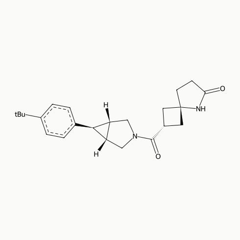 CC(C)(C)c1ccc([C@H]2[C@@H]3CN(C(=O)[C@H]4C[C@]5(CCC(=O)N5)C4)C[C@@H]32)cc1